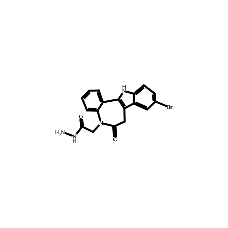 NNC(=O)CN1C(=O)Cc2c([nH]c3ccc(Br)cc23)-c2ccccc21